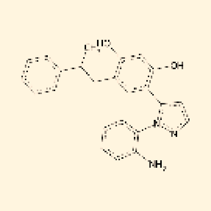 CC(Cc1cc(-c2ccnn2-c2ccccc2N)c(O)cc1O)c1ccccc1